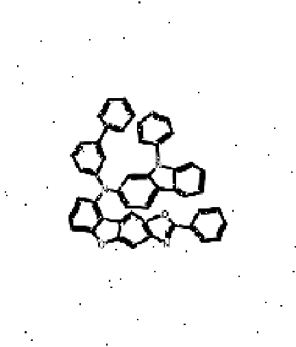 c1ccc(-c2cccc(N(c3ccc4c5ccccc5n(-c5ccccc5)c4c3)c3cccc4oc5cc6nc(-c7ccccc7)oc6cc5c34)c2)cc1